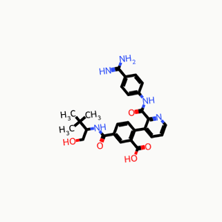 CC(C)(C)C(CO)NC(=O)c1ccc(-c2cccnc2C(=O)Nc2ccc(C(=N)N)cc2)c(C(=O)O)c1